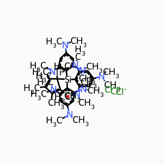 CC1=C(C)[C]([Ti+3])([Si](c2c(N(C)C)cc(N(C)C)cc2N(C)C)(c2c(N(C)C)cc(N(C)C)cc2N(C)C)c2c(N(C)C)cc(N(C)C)cc2N(C)C)C(C)=C1C.[Cl-].[Cl-].[Cl-]